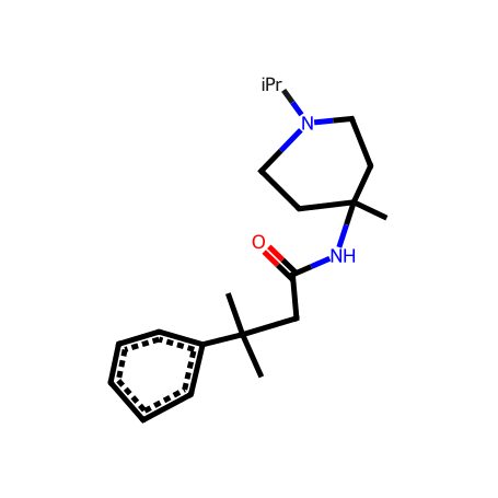 CC(C)N1CCC(C)(NC(=O)CC(C)(C)c2ccccc2)CC1